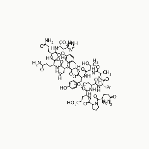 CC(C)[C@H](NC(=O)[C@H](CC(=O)O)NC(=O)[C@H](CCC(=O)O)NC(=O)[C@@H]1CCCN1C(=O)[C@@H](N)CCC(N)=O)C(=O)N[C@@H](C)C(=O)N[C@H](C(=O)N[C@@H](Cc1ccc(O)cc1)C(=O)N[C@@H](Cc1ccc(O)cc1)C(=O)N[C@@H](CS)C(=O)N[C@@H](CCC(N)=O)C(=O)N[C@@H](CCC(N)=O)C(=O)N[C@@H](Cc1c[nH]cn1)C(=O)O)[C@@H](C)O